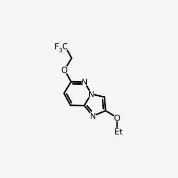 CCOc1cn2nc(OCC(F)(F)F)ccc2n1